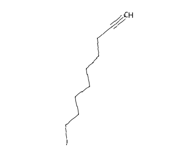 C#CCCCCCCCI